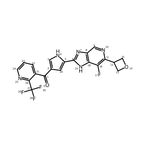 O=C(c1c[nH]c(-c2nc3cnc(C4COC4)c(F)c3[nH]2)c1)c1cccnc1C(F)(F)F